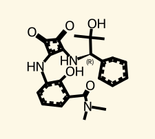 CN(C)C(=O)c1cccc(Nc2c(N[C@H](c3ccccc3)C(C)(C)O)c(=O)c2=O)c1O